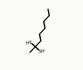 [CH2]C(S)(S)CCCCCC